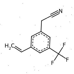 C=Cc1cc(CC#N)cc(C(F)(F)F)c1